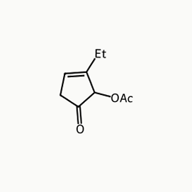 CCC1=CCC(=O)C1OC(C)=O